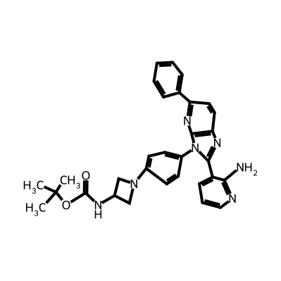 CC(C)(C)OC(=O)NC1CN(c2ccc(-n3c(-c4cccnc4N)nc4ccc(-c5ccccc5)nc43)cc2)C1